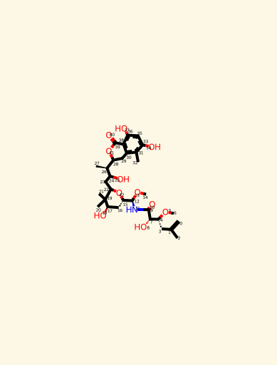 C=C(C)C[C@@H](OC)[C@H](O)C(=O)N[C@H](OC)[C@@H]1C[C@@H](O)C(C)(C)C(CC(O)[C@@H](C)C2Cc3c(C)c(O)cc(O)c3C(=O)O2)O1